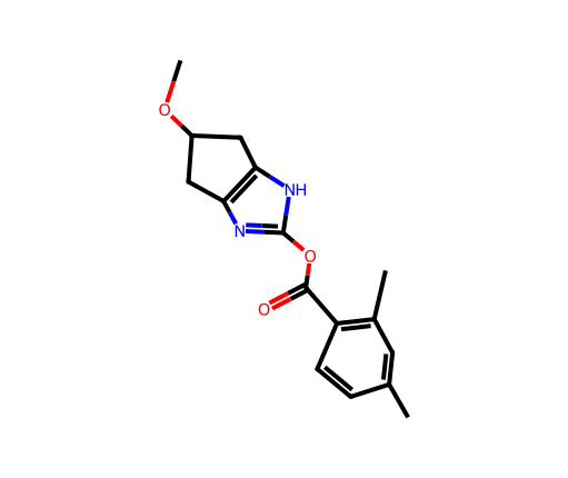 COC1Cc2nc(OC(=O)c3ccc(C)cc3C)[nH]c2C1